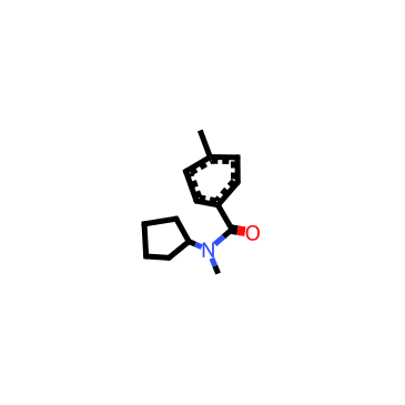 Cc1ccc(C(=O)N(C)C2CCCC2)cc1